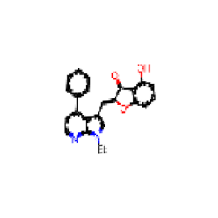 CCn1cc(C=C2Oc3cccc(O)c3C2=O)c2c(-c3ccccc3)ccnc21